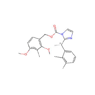 COc1ccc(COC(=O)n2ccnc2[C@@H](C)c2cccc(C)c2C)c(OC)c1C